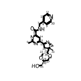 Cc1nc(C(=O)NCc2ccncc2)cc(C2=NO[C@](C)([C@H]3CO[C@H](CO)CO3)C2)n1